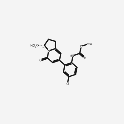 CC(C)(C)OC(=O)Nc1ccc(Cl)cc1-c1cc2n(c(=O)c1)[C@H](C(=O)O)CC2